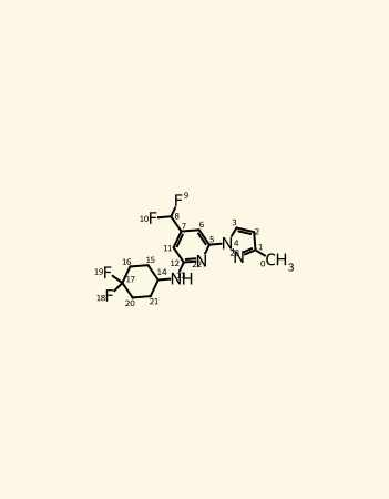 Cc1ccn(-c2cc(C(F)F)cc(NC3CCC(F)(F)CC3)n2)n1